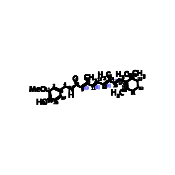 COc1cc(CNC(=O)/C=C(C)/C=C/C=C(C)/C=C/C2=C(C)CCCC2(C)C)ccc1O